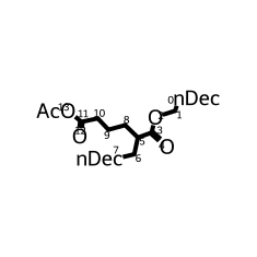 CCCCCCCCCCCOC(=O)C(CCCCCCCCCCC)CCCC(=O)OC(C)=O